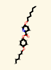 CCCCCCCOc1ccc(C(=O)Oc2ccc(OCCCCCC)cc2)nc1